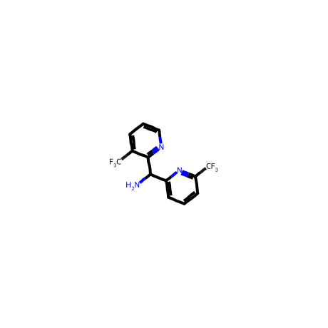 NC(c1cccc(C(F)(F)F)n1)c1ncccc1C(F)(F)F